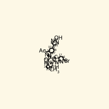 CC(=O)c1nn(CC(=O)N2[C@H](C(=O)Nc3nc(Br)ccc3C)C[C@@]3(C)C#C[C@@H]23)c2ccc(-c3cnc(O)nc3)cc12